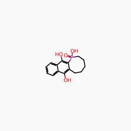 O=P1(O)CCCCCc2c1c(O)c1ccccc1c2O